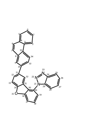 c1ccc2c(c1)ccc1cc(-c3ccc4oc5cccc(-n6nnc7ccccc76)c5c4c3)ccc12